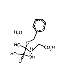 O.O=C(O)CNC(O)(OCc1ccccc1)P(=O)(O)O